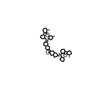 Cc1ccc(N(c2ccc3cc4oc5cc6ccc(N(c7ccccc7)c7cccc8c7oc7c(C)cccc78)cc6cc5c4cc3c2)c2cccc3c2oc2c(C)cccc23)cc1